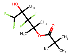 CCC(C)(C)C(=O)OC(C)(C)C(F)(F)C(O)(C(F)F)C(F)(F)F